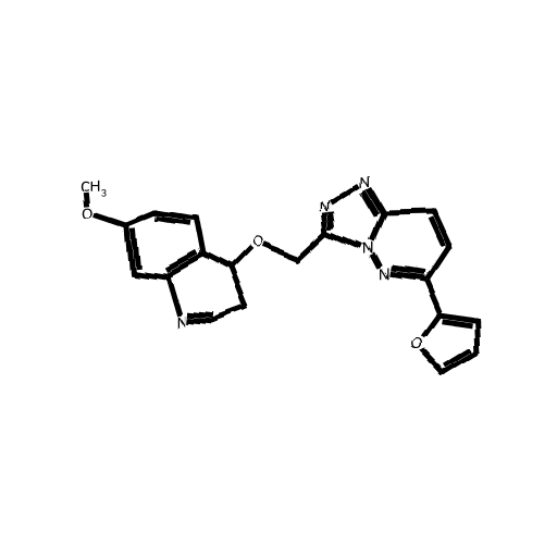 COc1ccc2c(c1)N=CCC2OCc1nnc2ccc(-c3ccco3)nn12